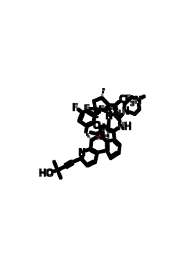 C[C@H]1CC(F)(F)c2c1c(C(F)(F)F)nn2CC(=O)N[C@@H](Cc1cc(F)cc(F)c1)c1nc(C#CC(C)(C)O)ccc1-c1cccc2c(NC(=O)N3CCN(C)CC3)nn(C)c12